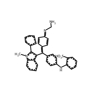 Cn1c(-c2ccccc2)c(C(=C2C=CC(=NCN)C=C2)c2ccc(Nc3ccccc3S(=O)(=O)O)cc2)c2ccccc21